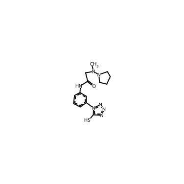 CN(CC(=O)Nc1cccc(-n2nnnc2S)c1)N1CCCC1